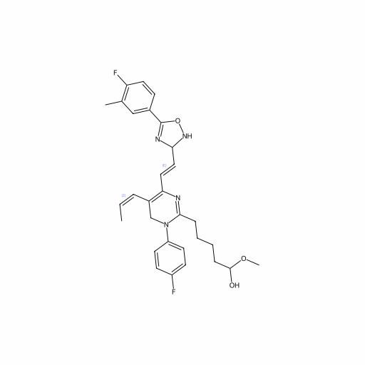 C/C=C\C1=C(/C=C/C2N=C(c3ccc(F)c(C)c3)ON2)N=C(CCCCC(O)OC)N(c2ccc(F)cc2)C1